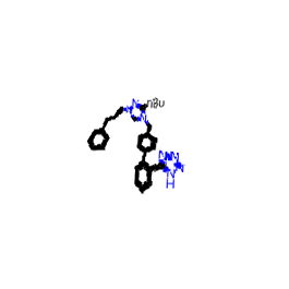 CCCCC1=NN(C=CCc2ccccc2)CN1Cc1ccc(-c2ccccc2-c2nnn[nH]2)cc1